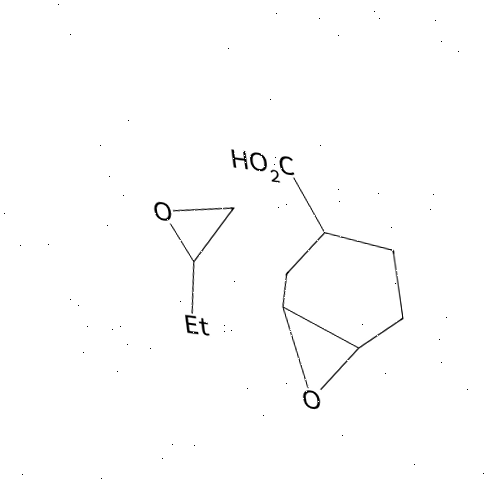 CCC1CO1.O=C(O)C1CCC2OC2C1